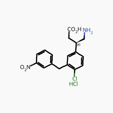 Cl.NC[C@H](CC(=O)O)c1ccc(Cl)c(Cc2cccc([N+](=O)[O-])c2)c1